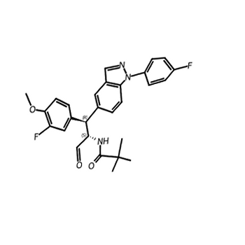 COc1ccc([C@@H](c2ccc3c(cnn3-c3ccc(F)cc3)c2)[C@@H](C=O)NC(=O)C(C)(C)C)cc1F